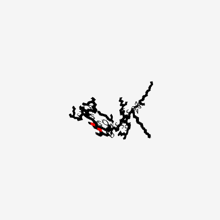 CCCCCCCCCc1nc(-c2nc(CCCCCCCCC)c(-c3cc4c(-c5ccc(CC(CC)CCCC)s5)c5sc(-c6ccc(C7=C8C(=O)N(CC(CC)CCCC)C(c9ccc(-c%10cc%11c(-c%12ccc(CC(CC)CCCC)s%12)c%12sc(C)cc%12c(-c%12ccc(CC(CC)CCCC)s%12)c%11s%10)s9)=C8C(=O)N7CC(CC)CCCC)s6)cc5c(-c5ccc(C(CC)CCCC)s5)c4s3)s2)sc1C